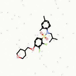 Cc1ccc(N(CC(C)C)S(=O)(=O)c2ccc(OCC3CCOCC3)c(F)c2F)c(C)c1